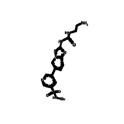 CC(C)(C)NS(=O)(=O)c1cncc(-c2ccc3nc(NC(=O)NCCN)nn3c2)c1